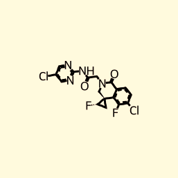 O=C(CN1C[C@]2(C[C@@H]2F)c2c(ccc(Cl)c2F)C1=O)Nc1ncc(Cl)cn1